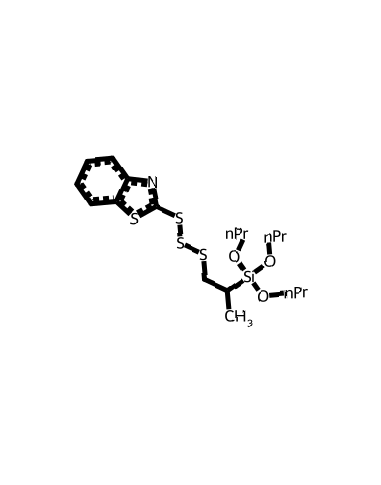 CCCO[Si](OCCC)(OCCC)C(C)CSSSc1nc2ccccc2s1